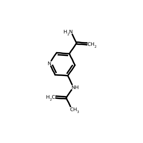 C=C(C)Nc1cncc(C(=C)N)c1